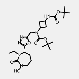 CCN1C(=O)N(O)CCC[C@H]1c1nnc(CN(C(=O)OC(C)(C)C)C2CC(NC(=O)OC(C)(C)C)C2)o1